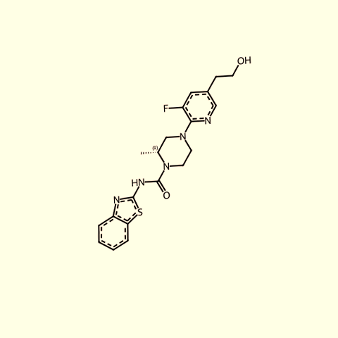 C[C@@H]1CN(c2ncc(CCO)cc2F)CCN1C(=O)Nc1nc2ccccc2s1